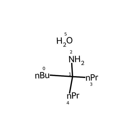 CCCCC(N)(CCC)CCC.O